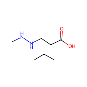 CCC.CNNCCC(=O)O